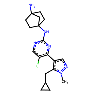 Cn1ncc(-c2nc(NC34CCC(N)(CC3)C4)ncc2Cl)c1CC1CC1